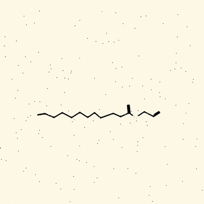 CCCCCCCCCCCC(=O)NCC=O